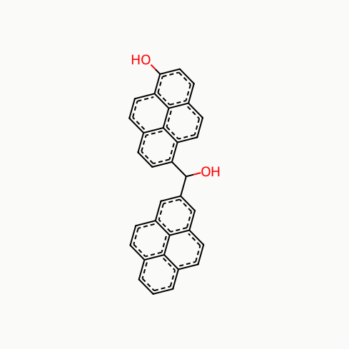 Oc1ccc2ccc3c(C(O)c4cc5ccc6cccc7ccc(c4)c5c67)ccc4ccc1c2c43